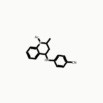 CC(=O)N1c2ccccc2C(Nc2ccc(C#N)cc2)CC1C